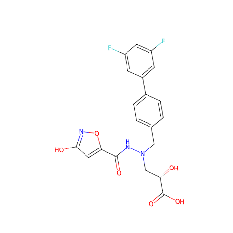 O=C(NN(Cc1ccc(-c2cc(F)cc(F)c2)cc1)C[C@H](O)C(=O)O)c1cc(O)no1